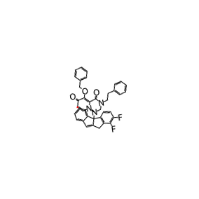 O=C1c2c(OCc3ccccc3)c(=O)ccn2N(C23C(=Cc4ccccc42)Cc2c3ccc(F)c2F)CN1CCc1ccccc1